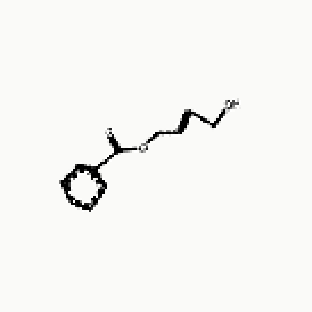 O=C(OCC=CCO)c1ccccc1